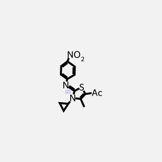 CC(=O)c1s/c(=N\c2ccc([N+](=O)[O-])cc2)n(C2CC2)c1C